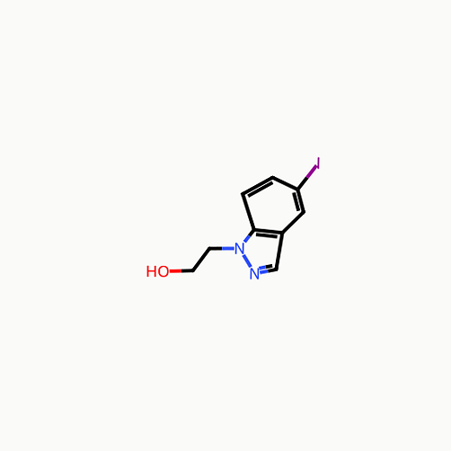 OCCn1ncc2cc(I)ccc21